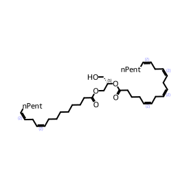 CCCCC/C=C\C/C=C\C/C=C\C/C=C\CCCC(=O)O[C@@H](CO)COC(=O)CCCCCCC/C=C\C/C=C\CCCCC